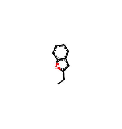 C[CH]c1cc2ccccc2o1